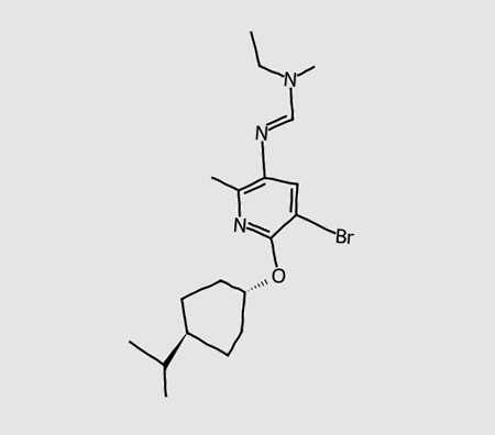 CCN(C)C=Nc1cc(Br)c(O[C@H]2CC[C@H](C(C)C)CC2)nc1C